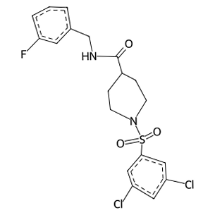 O=C(NCc1cccc(F)c1)C1CCN(S(=O)(=O)c2cc(Cl)cc(Cl)c2)CC1